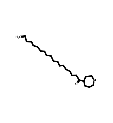 C=CCCCCCCCCCCCCCCCCC(=O)C1CCCNCC1